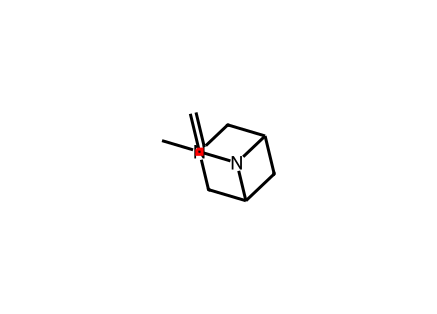 C=CN1C2CC1CN(C)C2